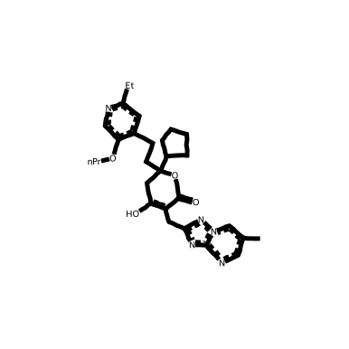 CCCOc1cnc(CC)cc1CCC1(C2CCCC2)CC(O)=C(Cc2nc3ncc(C)cn3n2)C(=O)O1